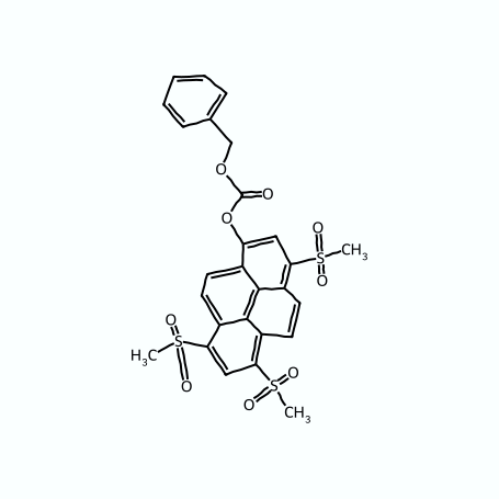 CS(=O)(=O)c1cc(OC(=O)OCc2ccccc2)c2ccc3c(S(C)(=O)=O)cc(S(C)(=O)=O)c4ccc1c2c34